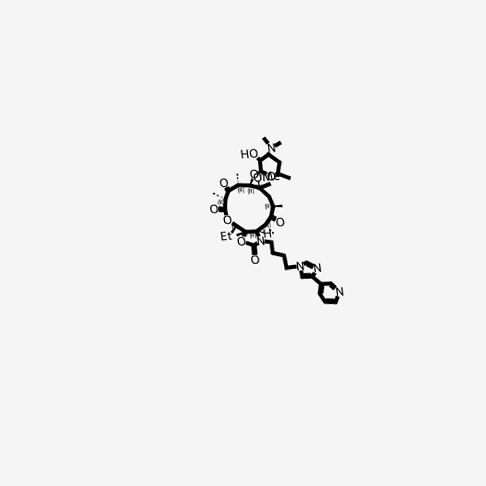 CC[C@H]1OC(=O)[C@H](C)C(=O)[C@H](C)[C@@H](O[C@@H]2OC(C)CC(N(C)C)C2O)[C@](C)(OC)C[C@@H](C)C(=O)[C@H](C)[C@H]2N(CCCCn3cnc(-c4cccnc4)c3)C(=O)O[C@]12C